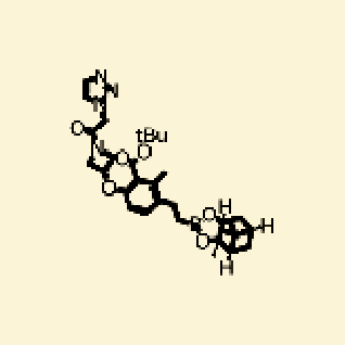 Cc1c(CCB2O[C@@H]3C[C@@H]4C[C@@H](C4(C)C)[C@]3(C)O2)ccc(OC2CN(C(=O)Cn3ccnn3)C2)c1C(=O)OC(C)(C)C